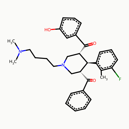 Cc1c(F)cccc1[C@@H]1[C@@H](C(=O)c2cccc(O)c2)CN(CCCCN(C)C)C[C@H]1C(=O)c1ccccc1